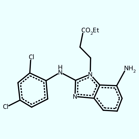 CCOC(=O)CCn1c(Nc2ccc(Cl)cc2Cl)nc2cccc(N)c21